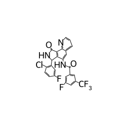 O=C(Nc1cc2cccnc2c2c1C(c1cc(F)ccc1Cl)NC2=O)c1cc(F)cc(C(F)(F)F)c1